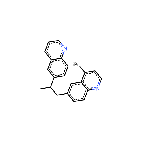 CC(C)c1ccnc2ccc(CC(C)c3ccc4ncccc4c3)cc12